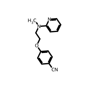 CN(CCOc1ccc(C#N)cc1)c1ccccn1